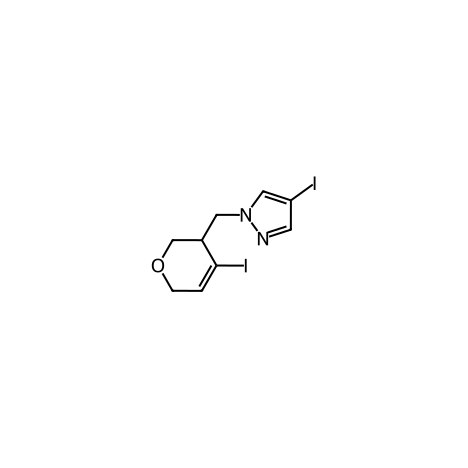 IC1=CCOCC1Cn1cc(I)cn1